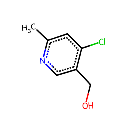 Cc1cc(Cl)c(CO)cn1